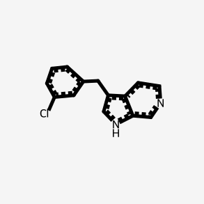 Clc1cccc(Cc2c[nH]c3cnccc23)c1